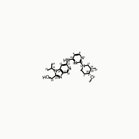 CO[C@@H]1CCN(c2nccc(Nc3cc4c(cn3)nc(CO)n4C(C)C)n2)C[C@H]1C